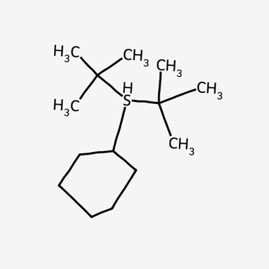 CC(C)(C)[SH](C1CCCCC1)C(C)(C)C